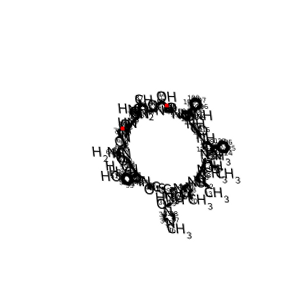 CCCC[C@H]1C(=O)N(C)[C@@H](CCCC)C(=O)N[C@@H](CC(C)C)C(=O)N[C@H](C(=O)NCC(=O)N2CCN(C)CC2)CSCC(=O)N[C@@H](Cc2ccc(O)cc2)C(=O)N(C)[C@@H](C)C(=O)N[C@@H](CC(N)=O)C(=O)N2CCC[C@H]2C(=O)N[C@@H](CN)C(=O)N[C@@H](CC(C)C)C(=O)N2C[C@H](O)C[C@H]2C(=O)N[C@@H](Cc2c[nH]c3ccccc23)C(=O)NCC(=O)NC(Cc2c[nH]c3ccccc23)C(=O)N1C